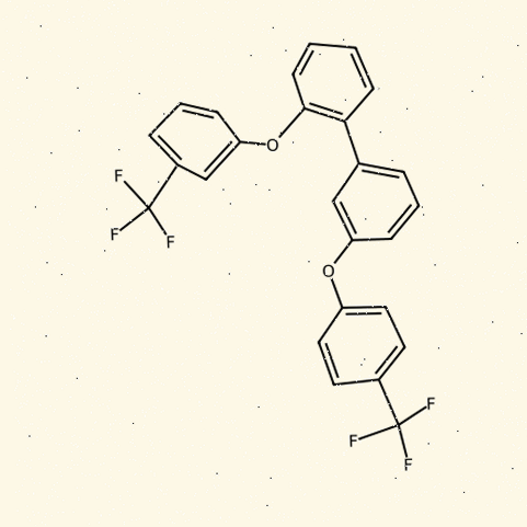 FC(F)(F)c1ccc(Oc2cccc(-c3[c]cccc3Oc3cccc(C(F)(F)F)c3)c2)cc1